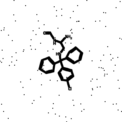 NC(CNC(c1ccccc1)(c1ccccc1)c1ccc(Cl)cc1)NC=O